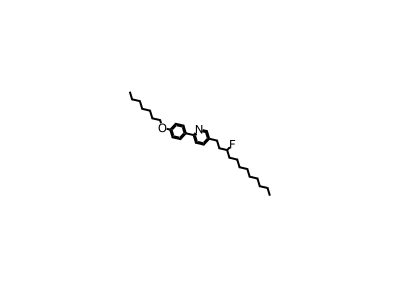 CCCCCCCCCC(F)CCc1ccc(-c2ccc(OCCCCCCC)cc2)nc1